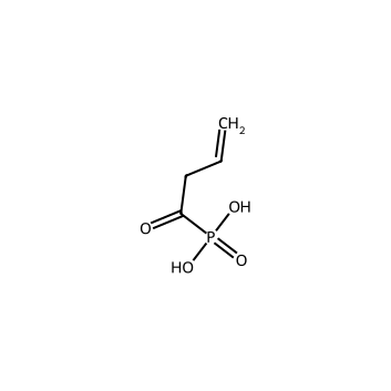 C=CCC(=O)P(=O)(O)O